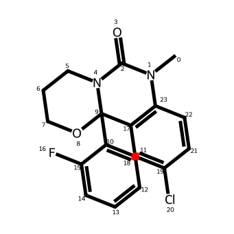 CN1C(=O)N2CCCOC2(c2ccccc2F)c2cc(Cl)ccc21